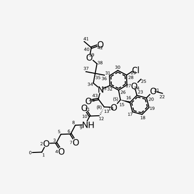 CCOC(=O)CC(=O)CNC(=O)C[C@H]1O[C@H](c2cccc(OC)c2OC)c2cc(Cl)ccc2N(CC(C)(C)COC(C)=O)C1=O